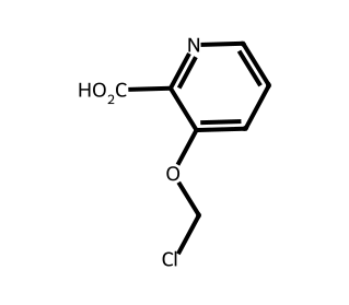 O=C(O)c1ncccc1OCCl